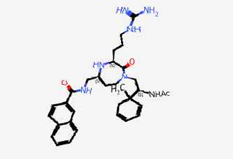 CC(=O)N[C@H](CN1CC[C@@H](CNC(=O)c2ccc3ccccc3c2)N[C@@H](CCCNC(=N)N)C1=O)C1(C)C=CC=CC1